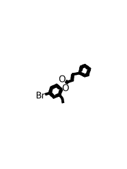 CCc1cc(Br)ccc1OC(=O)C=Cc1ccccc1